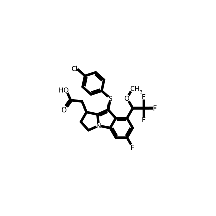 COC(c1cc(F)cc2c1c(Sc1ccc(Cl)cc1)c1n2CCC1CC(=O)O)C(F)(F)F